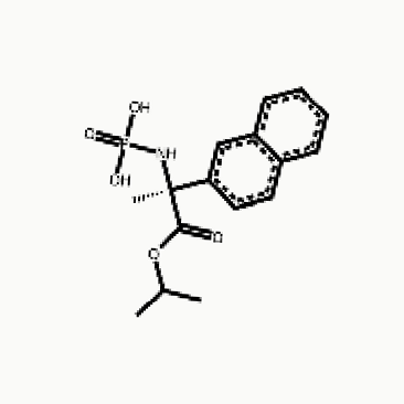 CC(C)OC(=O)[C@@](C)(NP(=O)(O)O)c1ccc2ccccc2c1